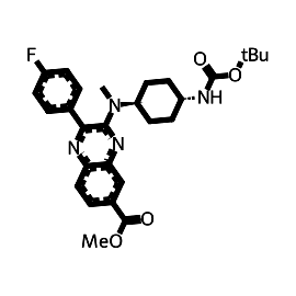 COC(=O)c1ccc2nc(-c3ccc(F)cc3)c(N(C)[C@H]3CC[C@H](NC(=O)OC(C)(C)C)CC3)nc2c1